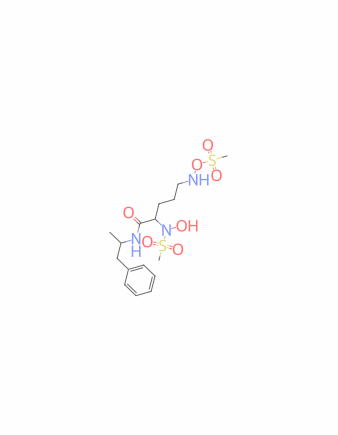 CC(Cc1ccccc1)NC(=O)C(CCCNOS(C)(=O)=O)N(O)S(C)(=O)=O